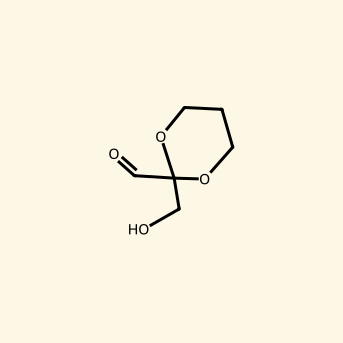 O=CC1(CO)OCCCO1